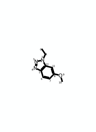 CCn1nnc2ccc(OC)cc21